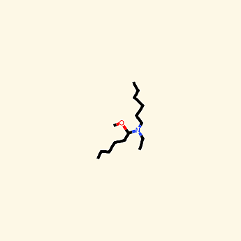 CCCCCCN(CC)C(CCCCC)OC